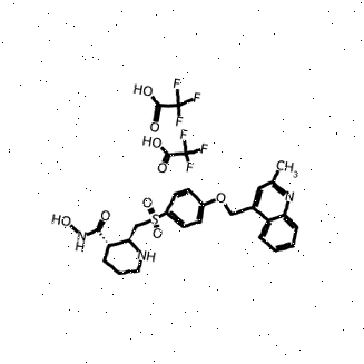 Cc1cc(COc2ccc(S(=O)(=O)C[C@H]3NCCC[C@@H]3C(=O)NO)cc2)c2ccccc2n1.O=C(O)C(F)(F)F.O=C(O)C(F)(F)F